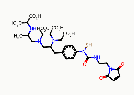 CC(CN(CC(=O)O)CC(Cc1ccc(N(S)C(=O)NCCN2C(=O)C=CC2=O)cc1)N(CC(=O)O)CC(=O)O)NC(C(=O)O)C(=O)O